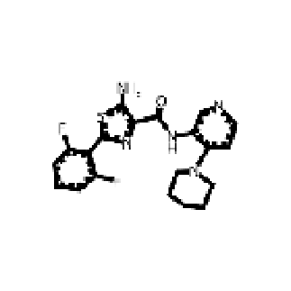 Nc1sc(-c2c(F)cccc2F)nc1C(=O)Nc1cnccc1N1CCCCC1